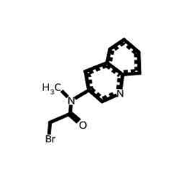 CN(C(=O)CBr)c1cnc2ccccc2c1